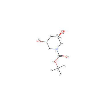 CC(C)(C)OC(=O)N1CC(O)C[C@@H](O)C1